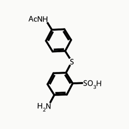 CC(=O)Nc1ccc(Sc2ccc(N)cc2S(=O)(=O)O)cc1